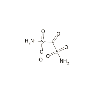 NS(=O)(=O)C(=O)S(N)(=O)=O.[O]